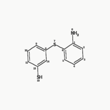 Nc1ccccc1Sc1cccc(S)c1